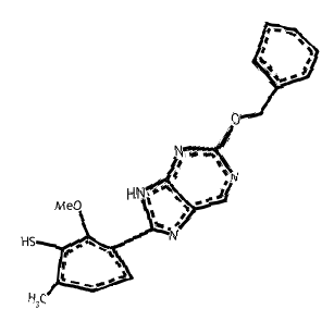 COc1c(-c2nc3cnc(OCc4ccccc4)nc3[nH]2)ccc(C)c1S